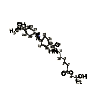 CCC(O)COC(=O)CCCCCNC(=O)c1ccc(/N=N/c2ccc(N(C)C)cc2)cc1